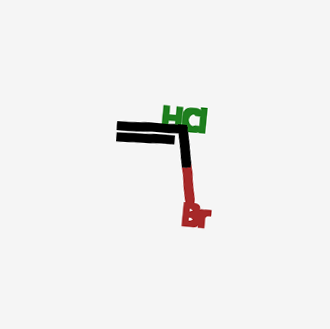 C=CBr.Cl